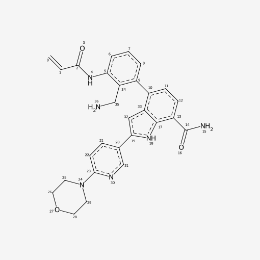 C=CC(=O)Nc1cccc(-c2ccc(C(N)=O)c3[nH]c(-c4ccc(N5CCOCC5)nc4)cc23)c1CN